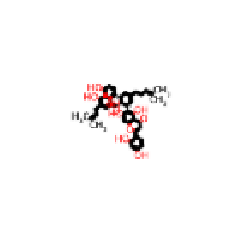 CC(C)=CCCC1=C[C@@H](c2c(O)cc3c(c2O)C(=O)CC(c2ccc(O)cc2O)O3)[C@H](C(=O)c2ccc(O)c(CC=C(C)C)c2)[C@@H](c2ccc(O)cc2O)C1